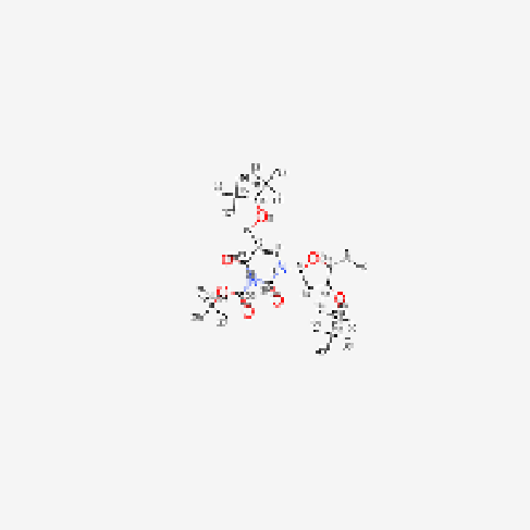 CC[C@H]1O[C@@H](n2cc(COC(C(C)(C)C)C(C)(C)C)c(=O)n(C(=O)OC(C)(C)C)c2=O)CC1O[Si](C)(C)C(C)(C)C